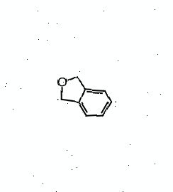 [c]1ccc2c(c1)CO[CH]2